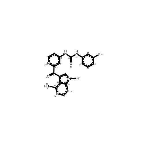 CC(C)n1cc(C(=O)c2cc(NC(=O)Nc3cccc(F)c3)ccn2)c2c(N)ncnc21